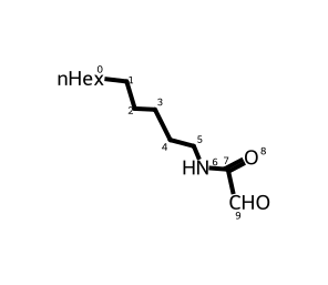 CCCCCCCCCCCNC(=O)C=O